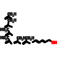 C=C(C)C(=O)O.C=C(C)C(=O)O.C=C(C)C(=O)O.C=C(C)C(=O)O.C=C(C)C(=O)O.C=C(C)C(=O)O.CC=CC=CCO